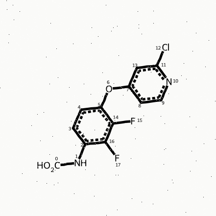 O=C(O)Nc1ccc(Oc2ccnc(Cl)c2)c(F)c1F